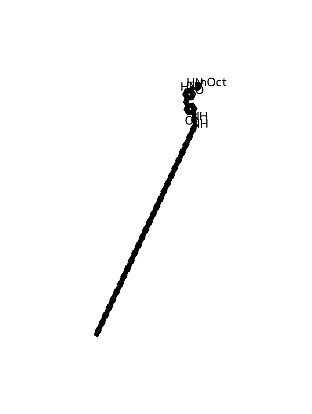 CC#CC#CC#CC#CC#CC#CC#CC#CC#CC#CC#CC#CC#CC#CC#CC#CC#CC#CC#CC#CC#CC#CC#CC#CC#CC#CC#CNC(=O)Nc1ccc(Cc2ccc(NC(=O)NCCCCCCCC)cc2)cc1